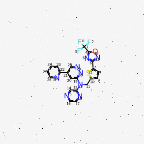 FC(F)(F)c1nc(-c2ccc(CN(c3cnccn3)c3cc(-c4ccccn4)cnn3)s2)no1